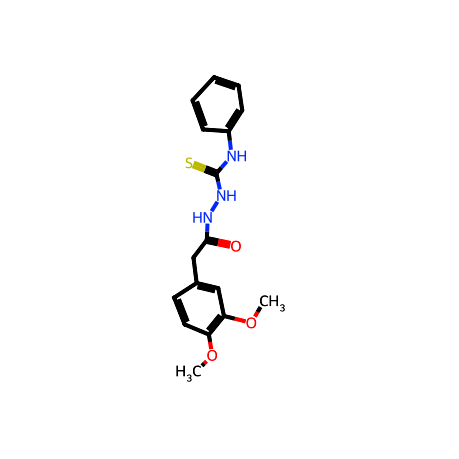 COc1ccc(CC(=O)NNC(=S)Nc2ccccc2)cc1OC